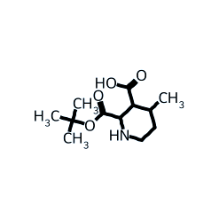 CC1CCNC(C(=O)OC(C)(C)C)C1C(=O)O